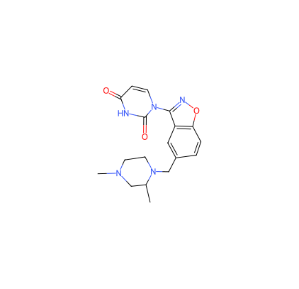 CC1CN(C)CCN1Cc1ccc2onc(-n3ccc(=O)[nH]c3=O)c2c1